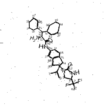 CC(C)C1(N2CC(C(F)(F)F)NC2=O)Cc2ccc(NC(=O)[C@@H](N)C(C3CCCCC3)C3CCCCC3)cc2C1